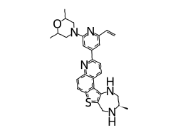 C=Cc1cc(-c2ccc3c(ccc4sc5c(c43)NC[C@@H](C)NC5)n2)cc(N2CC(C)OC(C)C2)n1